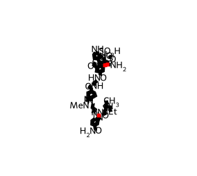 CCn1nc(C)cc1C(=O)Nc1nc2cc(C(N)=O)ccc2n1CCCCn1c(NC)nc2cc(C(=O)NCCNC(=O)c3ccc4c(c3)C(=O)OC43c4ccc(N)c(S(=O)O)c4Oc4c3ccc(N)c4S(=O)(=O)O)ccc21